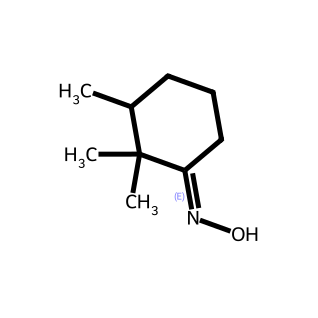 CC1CCC/C(=N\O)C1(C)C